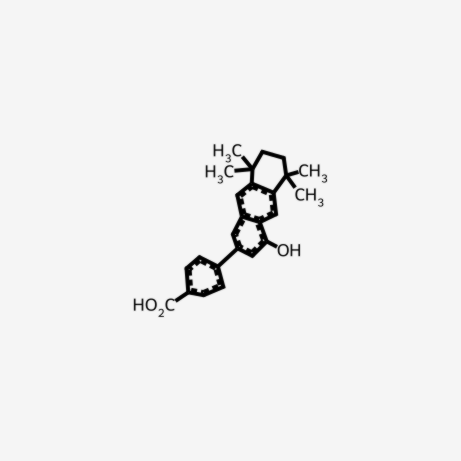 CC1(C)CCC(C)(C)c2cc3c(O)cc(-c4ccc(C(=O)O)cc4)cc3cc21